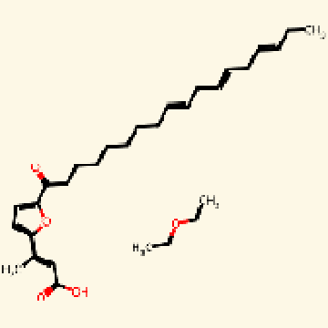 CCC=CCC=CCC=CCCCCCCCC(=O)c1ccc(C(C)=CC(=O)O)o1.CCOCC